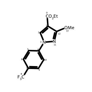 CCOC(=O)c1cn(-c2ccc(C(F)(F)F)cc2)nc1OC